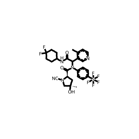 Cc1ccncc1C(C(=O)NC1CCC(F)(F)CC1)N(C(=O)[C@H]1C[C@@](C)(O)CN1C#N)c1ccc(S(F)(F)(F)(F)F)cc1